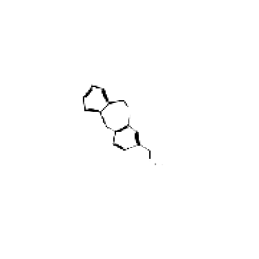 O=C(O)Cc1ccc2c(c1)SCc1ccccc1C2